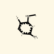 CNc1nc(N)ncc1F